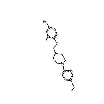 CCc1cnc(N2CCC(COc3ccc(Br)cc3C)CC2)nc1